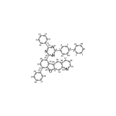 c1ccc(-c2ccc(-c3nc(-c4ccccc4)nc(-c4ccc(-c5ccccc5)c5oc6cc7ncccc7cc6c45)n3)cc2)cc1